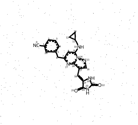 N#Cc1cccc(Cc2cc(NC3CC3)n3ncc(C=C4NC(=O)NC4=O)c3n2)c1